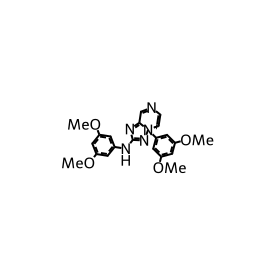 COc1cc(NC2=N[N+]3(c4cc(OC)cc(OC)c4)C=CN=CC3=N2)cc(OC)c1